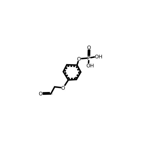 O=[C]COc1ccc(OP(=O)(O)O)cc1